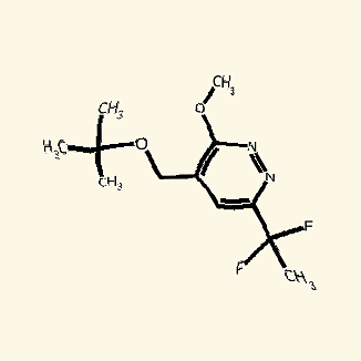 COc1nnc(C(C)(F)F)cc1COC(C)(C)C